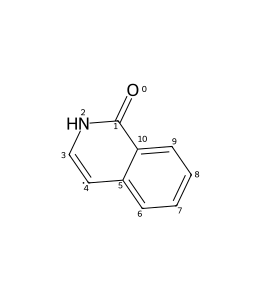 O=c1[nH]c[c]c2ccccc12